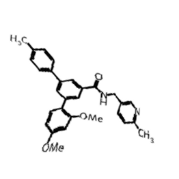 COc1ccc(-c2cc(C(=O)NCc3ccc(C)nc3)cc(-c3ccc(C)cc3)c2)c(OC)c1